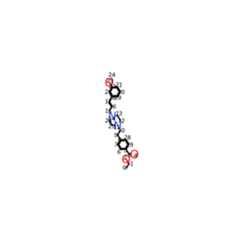 CCOC(=O)c1ccc(CCN2CCN(CC=Cc3cccc(OC)c3)CC2)cc1